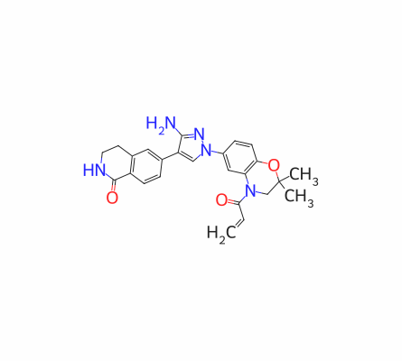 C=CC(=O)N1CC(C)(C)Oc2ccc(-n3cc(-c4ccc5c(c4)CCNC5=O)c(N)n3)cc21